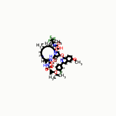 COc1ccc2c(O[C@@H]3C[C@H]4C(=O)N[C@]5(C(=O)NS(=O)(=O)C6CC6)C[C@H]5/C=C\CC[C@@H](C)C[C@@H](C)[C@H](N(C(=O)O)C(C)(C)C(F)(F)F)C(=O)N4C3)nc(-c3ccc(OC(C)C)c(F)c3)cc2c1